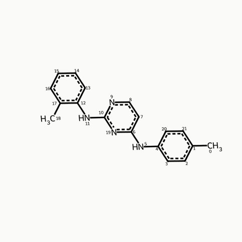 Cc1ccc(Nc2ccnc(Nc3ccccc3C)n2)cc1